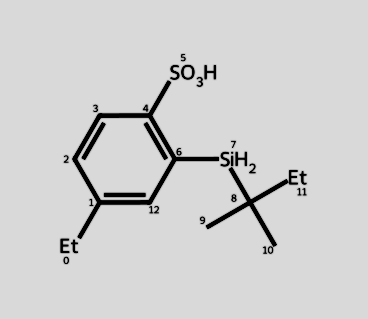 CCc1ccc(S(=O)(=O)O)c([SiH2]C(C)(C)CC)c1